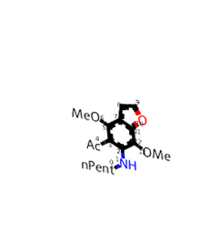 CCCCCNc1c(C(C)=O)c(OC)c2ccoc2c1OC